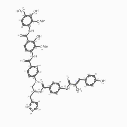 COc1c(NC(=O)c2ccc(NC(=O)c3ccc(OC[C@H](Cc4cnn[nH]4)NC(=O)c4ccc(NC(=O)/C(C)=C/c5ccc(O)cc5)cc4)cn3)c(OC)c2O)ccc(C(=O)O)c1O